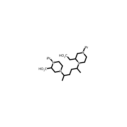 CC(C)N1CCN(C(C)CCC(C)N2CCN(C(C)C)C(C(=O)O)C2)C(CC(=O)O)C1